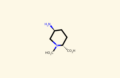 N[C@H]1CC[C@H](C(=O)O)N(C(=O)O)C1